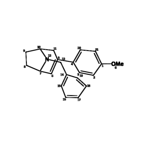 COc1ccc(C2=CC3CCC(C2)N3Cc2ccccc2)cc1